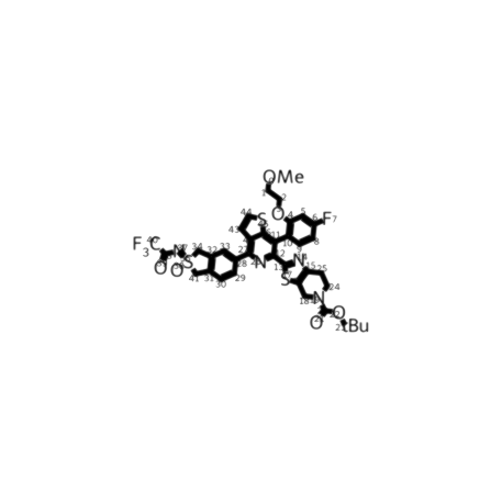 COCCOc1cc(F)ccc1-c1c(-c2nc3c(s2)CN(C(=O)OC(C)(C)C)CC3)nc(-c2ccc3c(c2)CS(=O)(=NC(=O)C(F)(F)F)C3)c2ccsc12